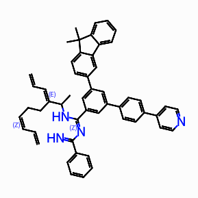 C=C/C=C\CC/C(=C\C=C)C(C)N/C(=N\C(=N)c1ccccc1)c1cc(-c2ccc(-c3ccncc3)cc2)cc(-c2ccc3c(c2)-c2ccccc2C3(C)C)c1